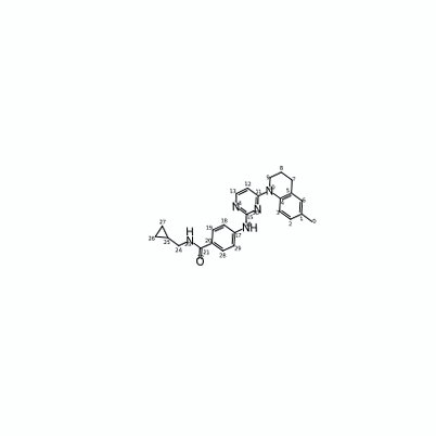 Cc1ccc2c(c1)CCCN2c1ccnc(Nc2ccc(C(=O)NCC3CC3)cc2)n1